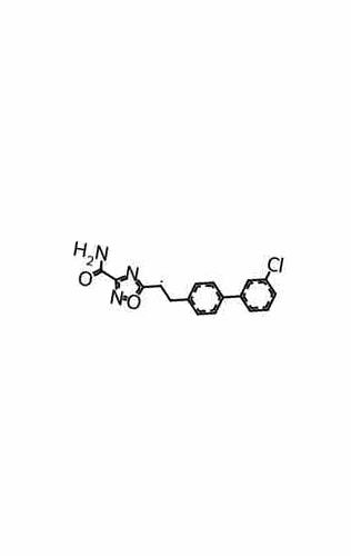 NC(=O)c1noc([CH]Cc2ccc(-c3cccc(Cl)c3)cc2)n1